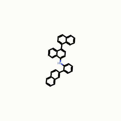 c1ccc(-c2ccc3ccccc3c2)c(Nc2ccc(-c3cccc4ccccc34)c3ccccc23)c1